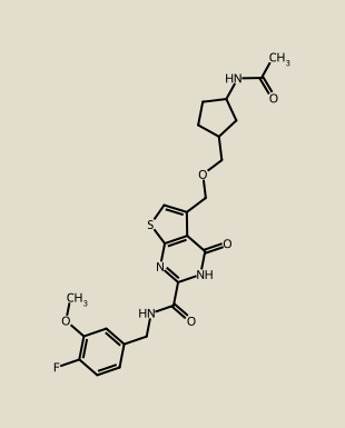 COc1cc(CNC(=O)c2nc3scc(COCC4CCC(NC(C)=O)C4)c3c(=O)[nH]2)ccc1F